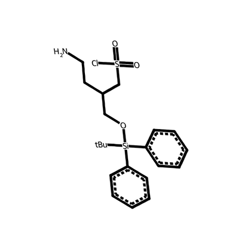 CC(C)(C)[Si](OCC(CCN)CS(=O)(=O)Cl)(c1ccccc1)c1ccccc1